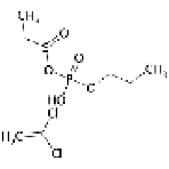 C=C(Cl)Cl.CCCOP(=O)(O)OS(=O)CC